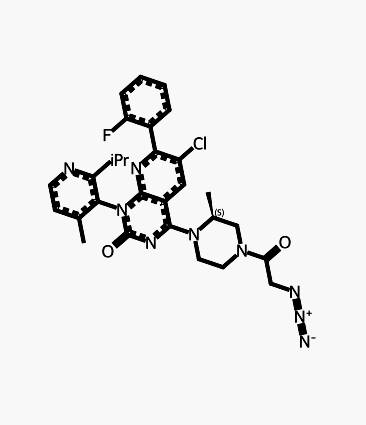 Cc1ccnc(C(C)C)c1-n1c(=O)nc(N2CCN(C(=O)CN=[N+]=[N-])C[C@@H]2C)c2cc(Cl)c(-c3ccccc3F)nc21